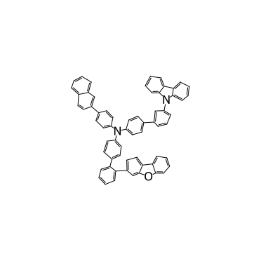 c1cc(-c2ccc(N(c3ccc(-c4ccc5ccccc5c4)cc3)c3ccc(-c4ccccc4-c4ccc5c(c4)oc4ccccc45)cc3)cc2)cc(-n2c3ccccc3c3ccccc32)c1